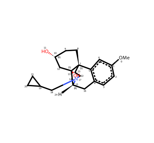 COc1ccc2c(c1)[C@@]13CC[C@@H](O)C[C@@]1(O)[C@@H](C2)N(CC1CC1)CC3